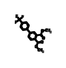 COC(=O)c1ccc(-c2ccc(C(F)(F)F)cc2)cc1C(=O)OC